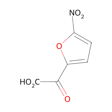 O=C(O)C(=O)c1ccc([N+](=O)[O-])o1